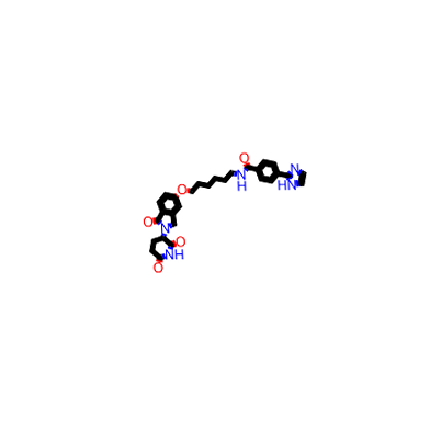 O=C1CCC(N2Cc3cc(OCCCCCCNC(=O)c4ccc(-c5ncc[nH]5)cc4)ccc3C2=O)C(=O)N1